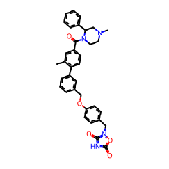 Cc1cc(C(=O)N2CCN(C)CC2c2ccccc2)ccc1-c1cccc(COc2ccc(Cn3oc(=O)[nH]c3=O)cc2)c1